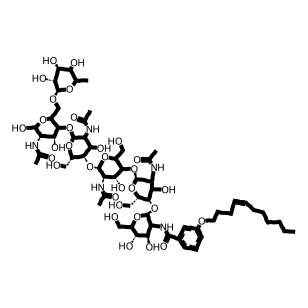 CCCCCC/C=C\CCCOc1cccc(C(=O)NC2[C@H](O[C@H]3C(O)C(NC(C)=O)[C@H](OC4C(CO)O[C@@H](O[C@H]5C(O)C(NC(C)=O)C(OC6C(CO[C@@H]7OC(C)C(O)[C@H](O)[C@H]7O)OC(O)[C@@H](NC(C)=O)[C@H]6O)O[C@H]5CO)[C@@H](NC(C)=O)[C@H]4O)O[C@H]3CO)OC(CO)[C@@H](O)[C@@H]2O)c1